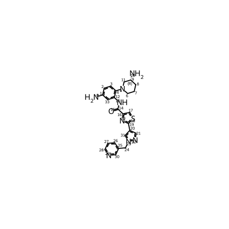 Nc1ccc(N2CCC[C@@H](N)C2)c(NC(=O)c2csc(-c3cnn(Cc4cccnc4)c3)n2)c1